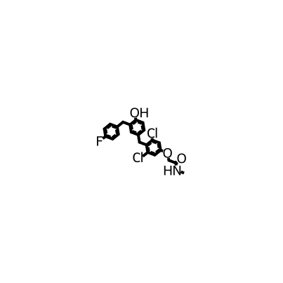 CNC(=O)COc1cc(Cl)c(Cc2ccc(O)c(Cc3ccc(F)cc3)c2)c(Cl)c1